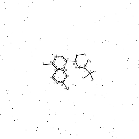 CC[C@@H](N[S+]([O-])C(C)(C)C)c1cnc(C)c2cnc(Cl)cc12